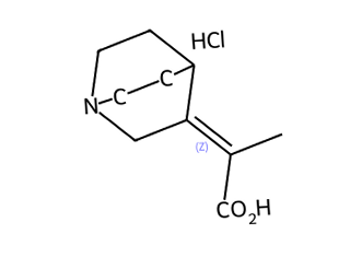 C/C(C(=O)O)=C1/CN2CCC1CC2.Cl